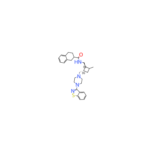 CC1C[C@H](CN2CCN(c3nsc4ccccc34)CC2)[C@H]1CNC(=O)C1CCc2ccccc2C1